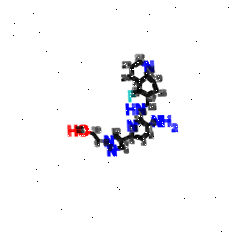 Nc1ccc(-c2cnn(CCO)c2)nc1NCc1ccc2ncccc2c1F